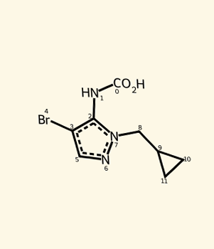 O=C(O)Nc1c(Br)cnn1CC1CC1